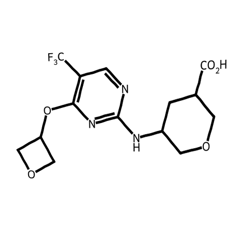 O=C(O)C1COCC(Nc2ncc(C(F)(F)F)c(OC3COC3)n2)C1